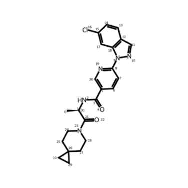 C[C@@H](NC(=O)c1ccc(-n2ncc3ccc(Cl)cc32)nc1)C(=O)N1CCC2(CC1)CC2